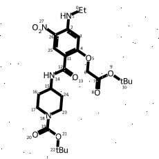 CCNc1cc(OCC(=O)OC(C)(C)C)c(C(=O)NC2CCN(C(=O)OC(C)(C)C)CC2)cc1[N+](=O)[O-]